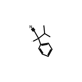 [CH2]C(C#N)(c1ccccc1)C(C)C